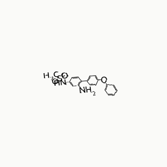 CS(=O)(=O)Nc1ccc(-c2ccc(Oc3ccccc3)cc2)c(N)c1